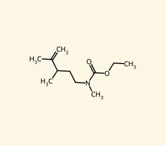 C=C(C)C(C)CCN(C)C(=O)OCC